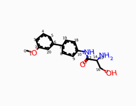 COc1cccc(-c2ccc(NC(=O)[C@@H](N)CO)cc2)c1